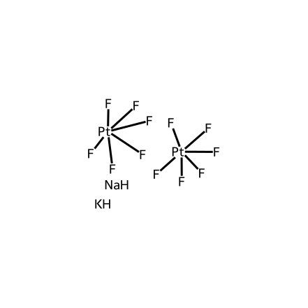 [F][Pt]([F])([F])([F])([F])[F].[F][Pt]([F])([F])([F])([F])[F].[KH].[NaH]